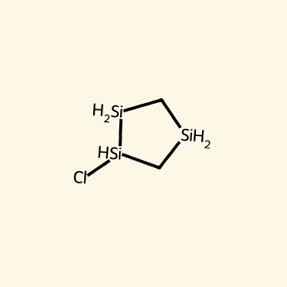 Cl[SiH]1C[SiH2]C[SiH2]1